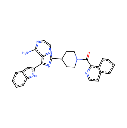 Nc1nccn2c(C3CCN(C(=O)c4nccc5ccccc45)CC3)nc(-c3cc4ccccc4[nH]3)c12